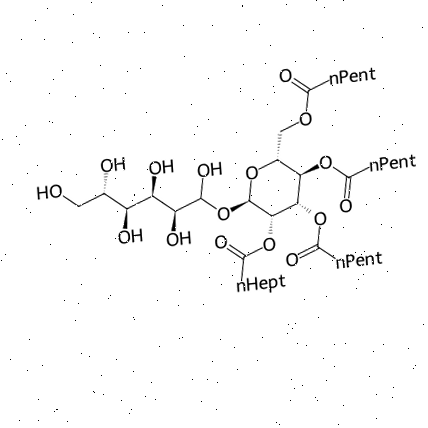 CCCCCCCC(=O)O[C@@H]1[C@@H](OC(O)[C@@H](O)[C@H](O)[C@@H](O)[C@@H](O)CO)O[C@H](COC(=O)CCCCC)[C@@H](OC(=O)CCCCC)[C@@H]1OC(=O)CCCCC